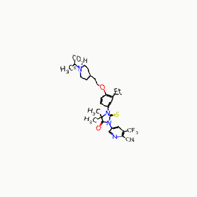 CCc1cc(N2C(=S)N(c3cnc(C#N)c(C(F)(F)F)c3)C(=O)C2(C)C)ccc1OCCC1CCN([C@@H](C)C(=O)O)CC1